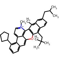 Cc1c2c(c(CC(C)(C)C)c3ccc(CC(C)C)cc13)Oc1cc3cccc(C4CCCC4)c3c3cc[n+](C)c-2c13